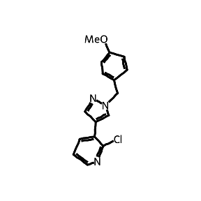 COc1ccc(Cn2cc(-c3cccnc3Cl)cn2)cc1